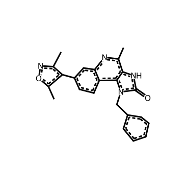 Cc1noc(C)c1-c1ccc2c(c1)nc(C)c1[nH]c(=O)n(Cc3ccccc3)c12